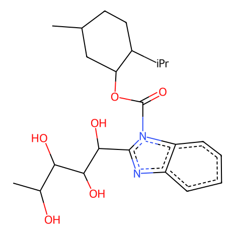 CC1CCC(C(C)C)C(OC(=O)n2c(C(O)C(O)C(O)C(C)O)nc3ccccc32)C1